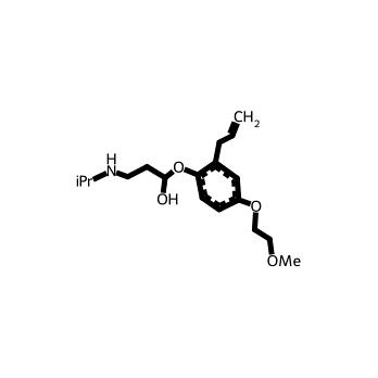 C=CCc1cc(OCCOC)ccc1OC(O)CCNC(C)C